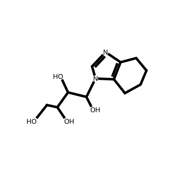 OCC(O)C(O)C(O)n1cnc2c1CCCC2